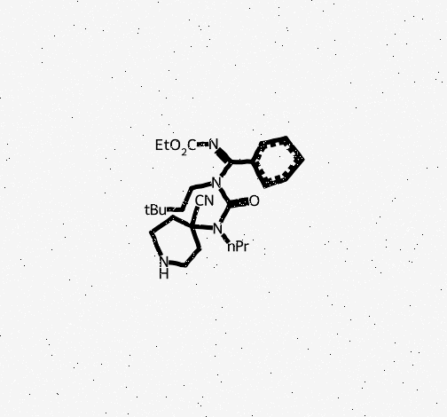 CCCN(C(=O)N(CCC(C)(C)C)C(=NC(=O)OCC)c1ccccc1)C1(C#N)CCNCC1